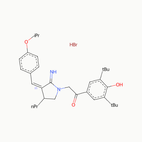 Br.CCCC1CN(CC(=O)c2cc(C(C)(C)C)c(O)c(C(C)(C)C)c2)C(=N)/C1=C\c1ccc(OC(C)C)cc1